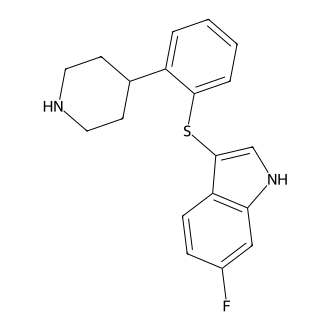 Fc1ccc2c(Sc3ccccc3C3CCNCC3)c[nH]c2c1